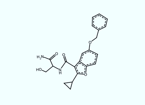 NC(=O)C(CO)NC(=O)c1c(C2CC2)oc2ccc(OCc3ccccc3)cc12